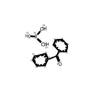 O=C(c1ccccc1)c1ccccc1.OB(O)O